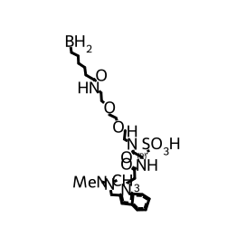 BCCCCCC(=O)NCCOCCOCCNC(=O)[C@H](CS(=O)(=O)O)NC(=O)CCn1c(CN(C)NC)cc2ccccc21